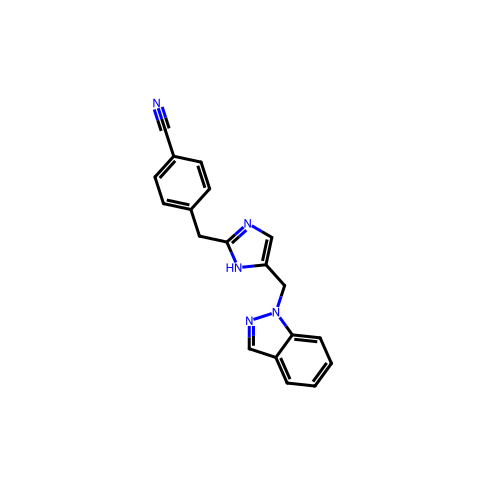 N#Cc1ccc(Cc2ncc(Cn3ncc4ccccc43)[nH]2)cc1